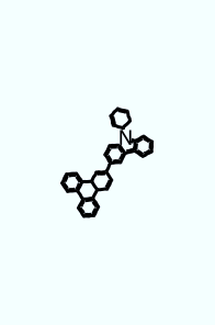 C1=CCC(n2c3ccccc3c3cc(C4=CC5c6ccccc6-c6ccccc6C5C=C4)ccc32)C=C1